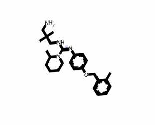 Cc1ccccc1COc1ccc(/N=C(/NCC(C)(C)CN)N2CCCCC2C)cc1